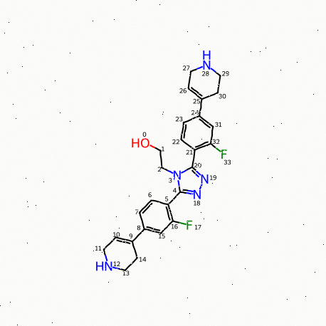 OCCn1c(-c2ccc(C3=CCNCC3)cc2F)nnc1-c1ccc(C2=CCNCC2)cc1F